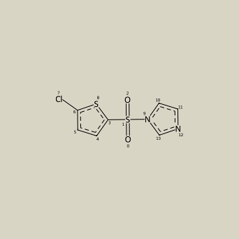 O=S(=O)(c1ccc(Cl)s1)n1ccnc1